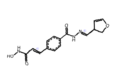 O=C(/C=C/c1ccc(C(=O)N/N=C/C2C=COC2)cc1)NO